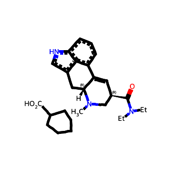 CCN(CC)C(=O)[C@@H]1C=C2c3cccc4[nH]cc(c34)C[C@H]2N(C)C1.O=C(O)C1CCCCC1